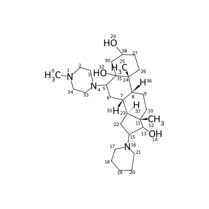 CN1CCN(C2C[C@@H]3[C@@H](CC[C@]4(C)C(O)C(N5CCCCC5)C[C@@H]34)[C@@]3(C)CCC(O)CC23O)CC1